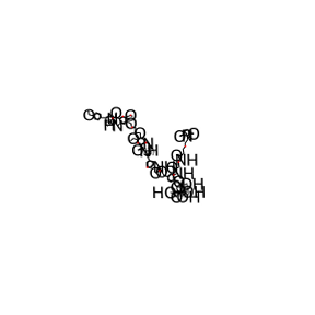 COc1ccc(C2=CN3C(=O)c4cc(OC)c(OCCCOc5cc6c(cc5OC)C(=O)N5C=C(c7cccc(NC(=O)OCc8ccc(OC9OC(C(=O)O)[C@@H](O)[C@H](O)[C@@H]9O)c(NC(=O)CCNC(=O)CCCCCN9C(=O)C=CC9=O)c8)c7)C[C@H]5C=N6)cc4N=C[C@@H]3C2)cc1